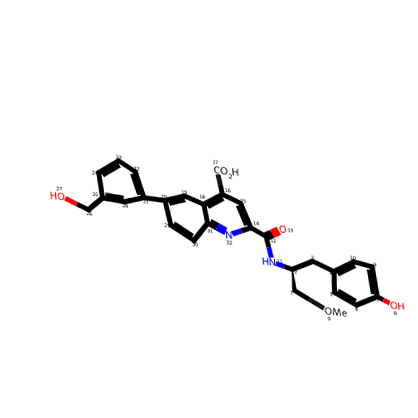 COC[C@H](Cc1ccc(O)cc1)NC(=O)c1cc(C(=O)O)c2cc(-c3cccc(CO)c3)ccc2n1